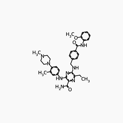 CCc1nc(C(N)=O)c(Nc2ccc(N3CCN(C)CC3)c(C)c2)nc1NCc1ccc(C(=O)Nc2ccccc2OC)cc1